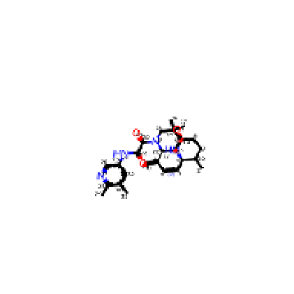 C=C(/C=C\C1NC(=O)CCC1C)[C@@H]1CCC(C)(C)CN1C(=O)C(=O)Nc1cnc(C)c(C)c1